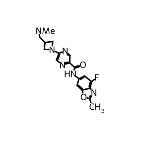 CNCC1CN(c2cnc(C(=O)Nc3cc(F)c4nc(C)oc4c3)cn2)C1